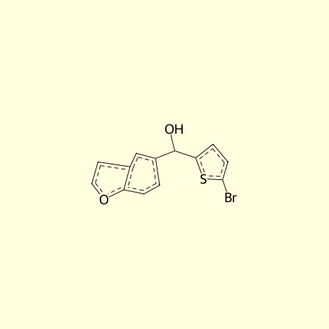 OC(c1ccc2occc2c1)c1ccc(Br)s1